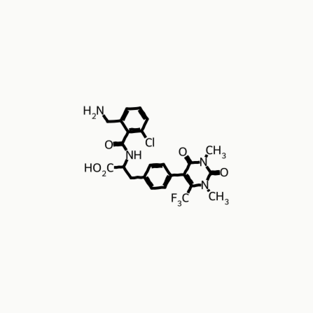 Cn1c(C(F)(F)F)c(-c2ccc(CC(NC(=O)c3c(Cl)cccc3CN)C(=O)O)cc2)c(=O)n(C)c1=O